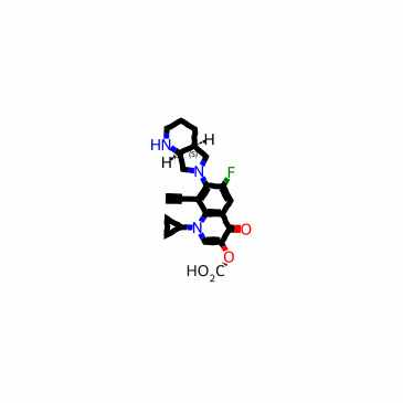 C#Cc1c(N2C[C@@H]3CCCN[C@@H]3C2)c(F)cc2c(=O)c(OC(=O)O)cn(C3CC3)c12